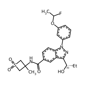 CC[C@H](O)c1nn(-c2cccc(OC(C)F)c2)c2ccc(C(=O)NC3(C)CS(=O)(=O)C3)cc12